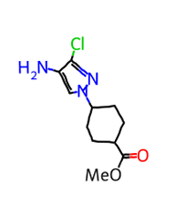 COC(=O)C1CCC(n2cc(N)c(Cl)n2)CC1